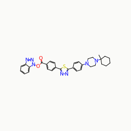 CC1(N2CCN(c3ccc(-c4nnc(-c5ccc(C(=O)On6nnc7ccccc76)cc5)s4)cc3)CC2)CCCCC1